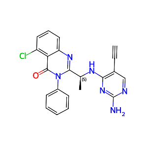 C#Cc1cnc(N)nc1N[C@@H](C)c1nc2cccc(Cl)c2c(=O)n1-c1ccccc1